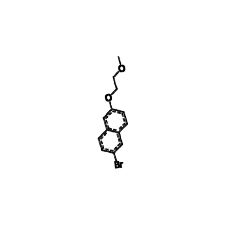 COCCOc1ccc2cc(Br)ccc2c1